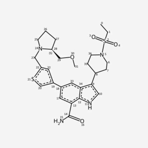 CCS(=O)(=O)N1CCC(c2c[nH]c3c(C(N)=O)cc(-c4csc(CN5CCC[C@H]5COC)c4)cc23)CC1